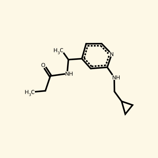 CCC(=O)NC(C)c1ccnc(NCC2CC2)c1